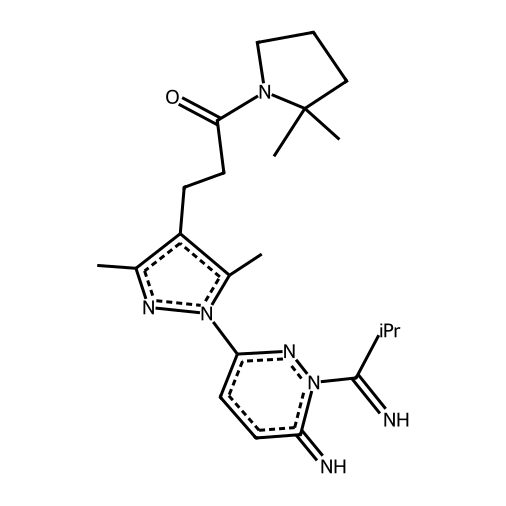 Cc1nn(-c2ccc(=N)n(C(=N)C(C)C)n2)c(C)c1CCC(=O)N1CCCC1(C)C